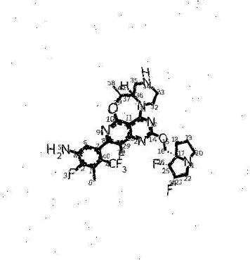 Cc1c(F)c(N)cc(-c2nc3c4c(nc(OC[C@]56CCCN5C[C@H](F)[C@@H]6F)nc4c2F)N2CCNC[C@H]2[C@H](C)O3)c1C(F)(F)F